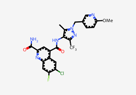 COc1ccc(Cn2nc(C(F)(F)F)c(NC(=O)c3cc(C(N)=O)nc4cc(F)c(Cl)cc34)c2C)cn1